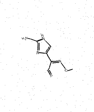 CON=C([C]=O)c1c[nH]c(N)n1